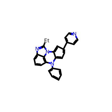 CCc1nc2cccc3c2n1-c1cc(-c2ccncc2)ccc1N3c1ccccc1